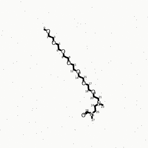 COCCOCCOCCOCCOCCOCCOCCN(C)CCN(C)C=O